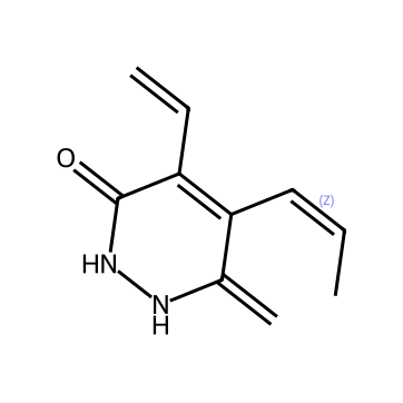 C=CC1=C(/C=C\C)C(=C)NNC1=O